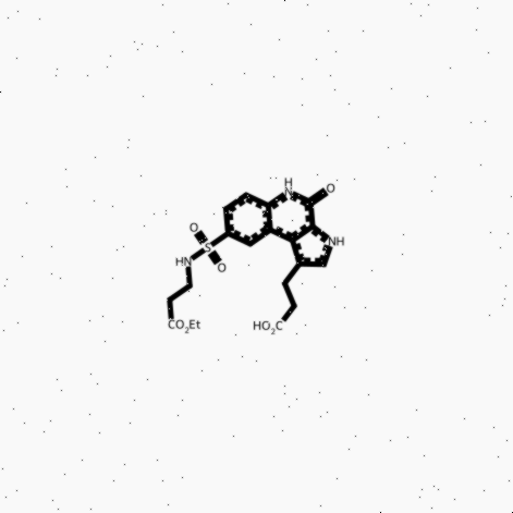 CCOC(=O)CCNS(=O)(=O)c1ccc2[nH]c(=O)c3[nH]cc(CCC(=O)O)c3c2c1